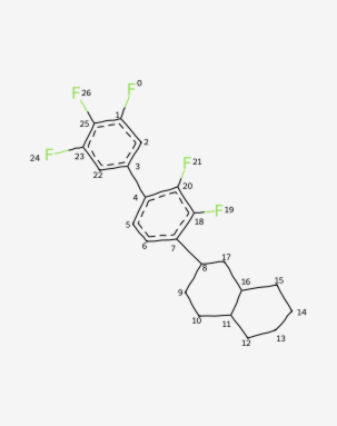 Fc1cc(-c2ccc(C3CCC4CCCCC4C3)c(F)c2F)cc(F)c1F